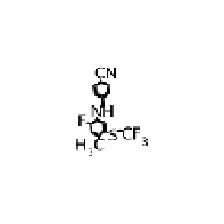 Cc1cc(F)c(NCc2ccc(C#N)cc2)cc1SCC(F)(F)F